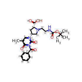 Cc1cn([C@@H]2C[C@H](C(=O)O)N(CCNC(=O)OC(C)(C)C)C2)c(=O)n(C(=O)c2ccccc2)c1=O